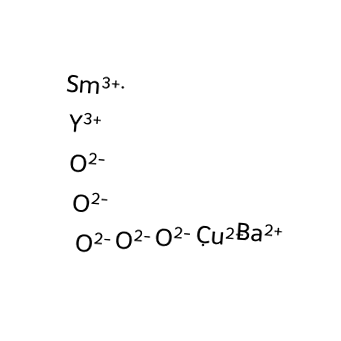 [Ba+2].[Cu+2].[O-2].[O-2].[O-2].[O-2].[O-2].[Sm+3].[Y+3]